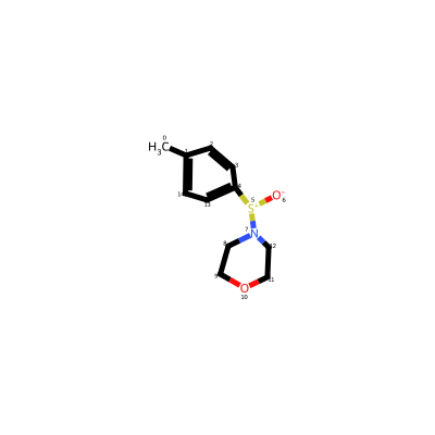 Cc1ccc([S+]([O-])N2CCOCC2)cc1